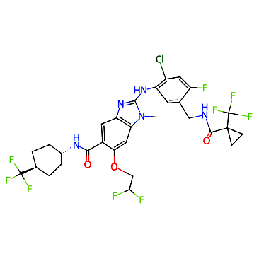 Cn1c(Nc2cc(CNC(=O)C3(C(F)(F)F)CC3)c(F)cc2Cl)nc2cc(C(=O)N[C@H]3CC[C@H](C(F)(F)F)CC3)c(OCC(F)F)cc21